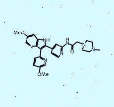 COc1ccc(-c2c(-c3ccnc(NC(=O)CN4CCN(C)CC4)c3)[nH]c3cc(OC)cnc23)nc1